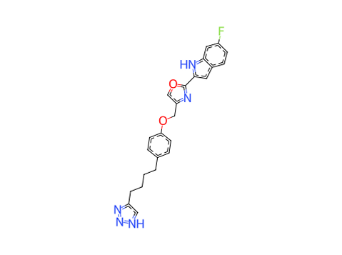 Fc1ccc2cc(-c3nc(COc4ccc(CCCCc5c[nH]nn5)cc4)co3)[nH]c2c1